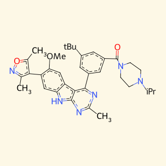 COc1cc2c(cc1-c1c(C)noc1C)[nH]c1nc(C)nc(-c3cc(C(=O)N4CCN(C(C)C)CC4)cc(C(C)(C)C)c3)c12